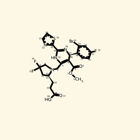 COC(=O)C1=C(CN2CC(F)(F)C[C@@H]2CCC(=O)O)NC(c2nccs2)=N[C@H]1c1ccc(F)cc1Br